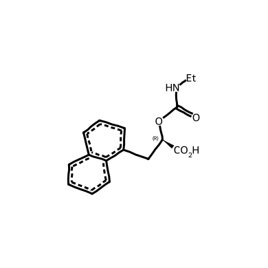 CCNC(=O)O[C@H](Cc1cccc2ccccc12)C(=O)O